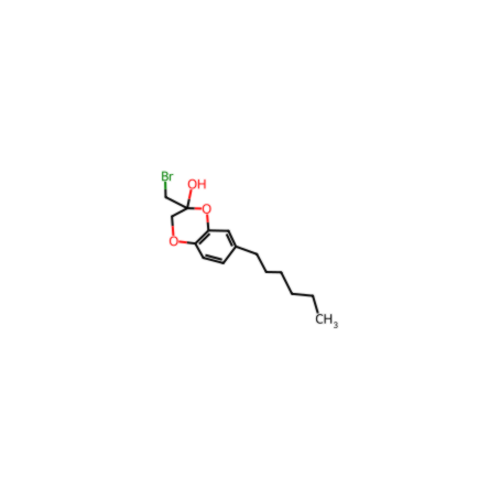 CCCCCCc1ccc2c(c1)OC(O)(CBr)CO2